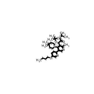 CCCCSc1ccc(-c2cnc(C)c([C@H](OC(C)(C)C)C(=O)OC(C)C)c2N2CCC(C)(C)CC2)nc1